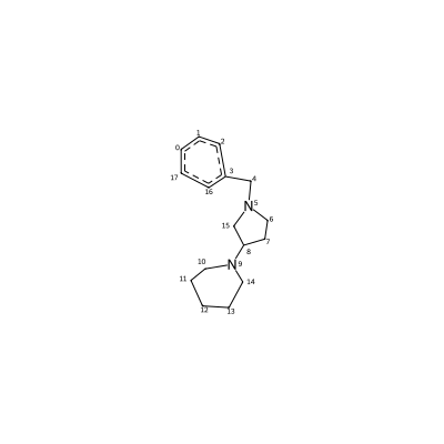 c1ccc(CN2CCC(N3CCCCC3)C2)cc1